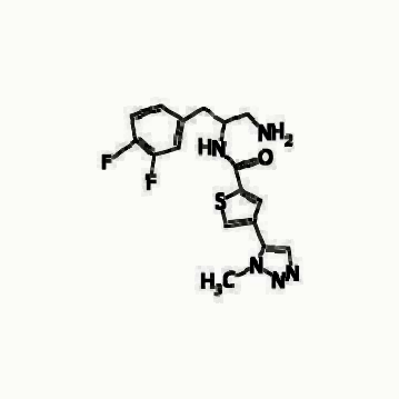 Cn1nncc1-c1csc(C(=O)NC(CN)Cc2ccc(F)c(F)c2)c1